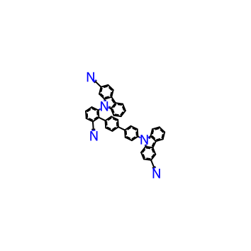 N#Cc1ccc2c(c1)c1ccccc1n2-c1ccc(-c2ccc(-c3c(C#N)cccc3-n3c4ccccc4c4ccc(C#N)cc43)cc2)cc1